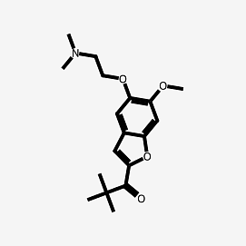 COc1cc2oc(C(=O)C(C)(C)C)cc2cc1OCCN(C)C